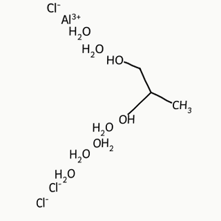 CC(O)CO.O.O.O.O.O.O.[Al+3].[Cl-].[Cl-].[Cl-]